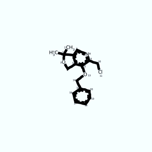 CC1(C)OCc2c1cnc(CCl)c2OCc1ccccc1